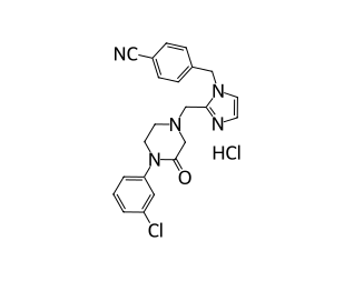 Cl.N#Cc1ccc(Cn2ccnc2CN2CCN(c3cccc(Cl)c3)C(=O)C2)cc1